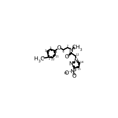 Cc1ccc(OCCN(C)C(=O)Cn2ccc([N+](=O)[O-])n2)cc1